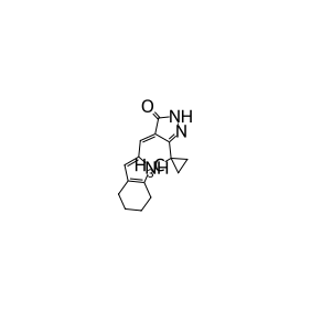 CC1(C2=NNC(=O)/C2=C/c2cc3c([nH]2)CCCC3)CC1